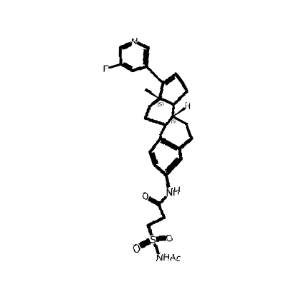 CC(=O)NS(=O)(=O)CCC(=O)Nc1ccc2c(c1)CC[C@@H]1C2CC[C@]2(C)C(c3cncc(F)c3)=CCC12